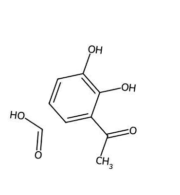 CC(=O)c1cccc(O)c1O.O=CO